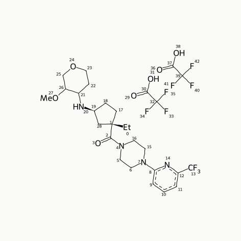 CC[C@]1(C(=O)N2CCN(c3cccc(C(F)(F)F)n3)CC2)CC[C@H](NC2CCOCC2OC)C1.O=C(O)C(F)(F)F.O=C(O)C(F)(F)F